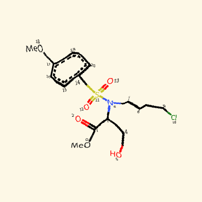 COC(=O)C(CO)N(CCCCl)S(=O)(=O)c1ccc(OC)cc1